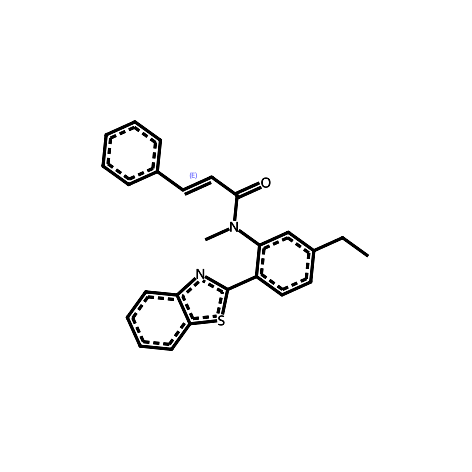 CCc1ccc(-c2nc3ccccc3s2)c(N(C)C(=O)/C=C/c2ccccc2)c1